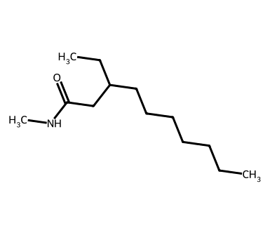 CCCCCCCC(CC)CC(=O)NC